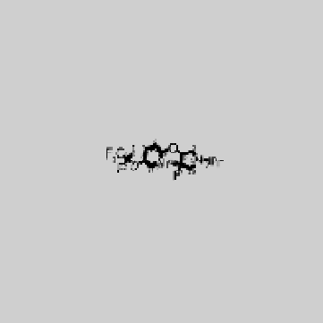 CC(C)N1C[C@H](Oc2ccc(OC(F)(F)C(F)(F)F)cn2)C(F)(F)C1